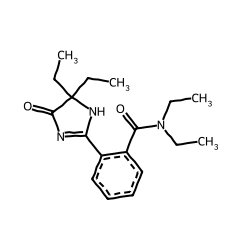 CCN(CC)C(=O)c1ccccc1C1=NC(=O)C(CC)(CC)N1